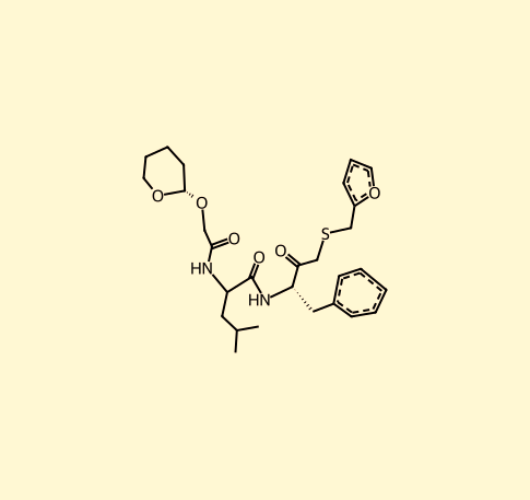 CC(C)CC(NC(=O)CO[C@H]1CCCCO1)C(=O)N[C@@H](Cc1ccccc1)C(=O)CSCc1ccco1